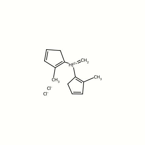 [CH2]=[Hf+2]([C]1=C(C)C=CC1)[C]1=C(C)C=CC1.[Cl-].[Cl-]